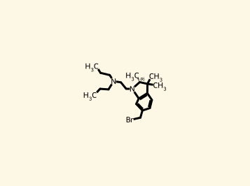 CCCN(CCC)CCN1c2cc(CBr)ccc2C(C)(C)[C@H]1C